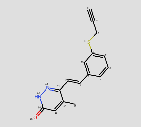 C#CCSc1cccc(C=Cc2n[nH]c(=O)cc2C)c1